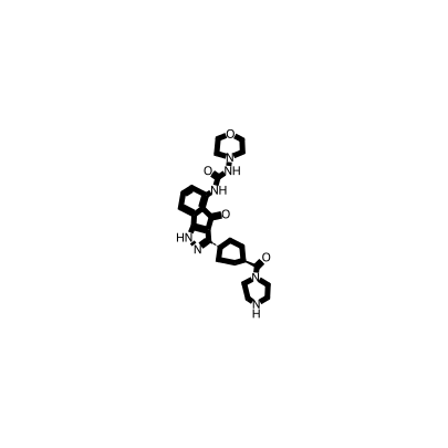 O=C(Nc1cccc2c1C(=O)c1c-2[nH]nc1[C@H]1CC[C@H](C(=O)N2CCNCC2)CC1)NN1CCOCC1